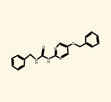 O=C(NCc1ccccc1)Nc1ncc(OCc2ccccc2)cn1